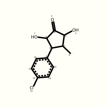 [CH2]C1C(O)C(=O)C(O)C1c1ccc(Cl)cc1